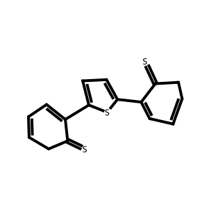 S=C1CC=CC=C1c1ccc(C2=CC=CCC2=S)s1